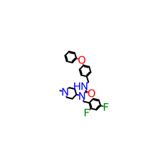 CN1CCC(N(Cc2ccc(F)cc2F)C(=O)NCc2ccc(Oc3ccccc3)cc2)CC1